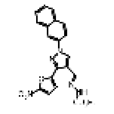 CCOC(=O)NN=Cc1cn(-c2ccc3ccccc3c2)nc1-c1ccc([N+](=O)[O-])o1